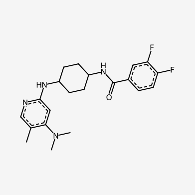 Cc1cnc(NC2CCC(NC(=O)c3ccc(F)c(F)c3)CC2)cc1N(C)C